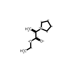 C=C(C(=O)OCC)N1CCCC1